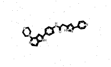 O=C(Cc1cc(-c2ccncc2)n[nH]1)Nc1ccc(-c2cc3c(N4CCOCC4)nccc3[nH]2)cc1